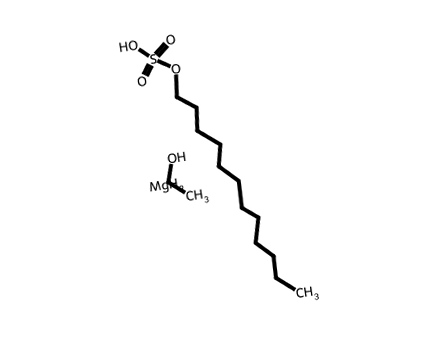 CCCCCCCCCCCCOS(=O)(=O)O.CCO.[MgH2]